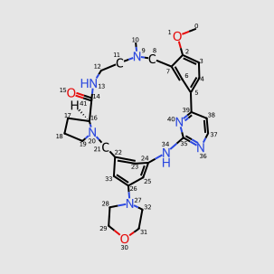 COc1ccc2cc1CN(C)CCNC(=O)[C@@H]1CCCN1Cc1cc(cc(N3CCOCC3)c1)Nc1nccc-2n1